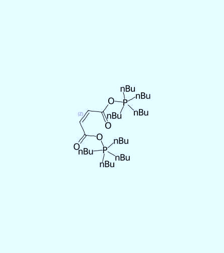 CCCCP(CCCC)(CCCC)(CCCC)OC(=O)/C=C\C(=O)OP(CCCC)(CCCC)(CCCC)CCCC